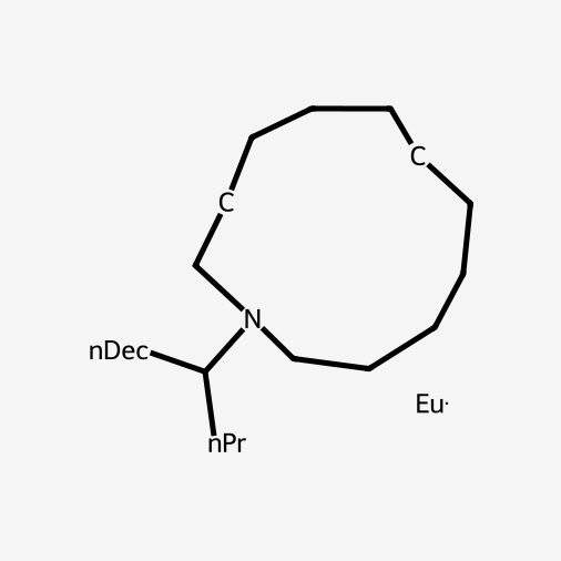 [CH2]CCCCCCCCCC(CCC)N1CCCCCCCCCCC1.[Eu]